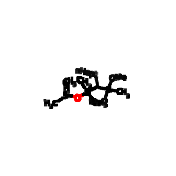 CCCCCCCC([Si](C)(C)O[SiH](C)C)[Si](C)(OC)OC